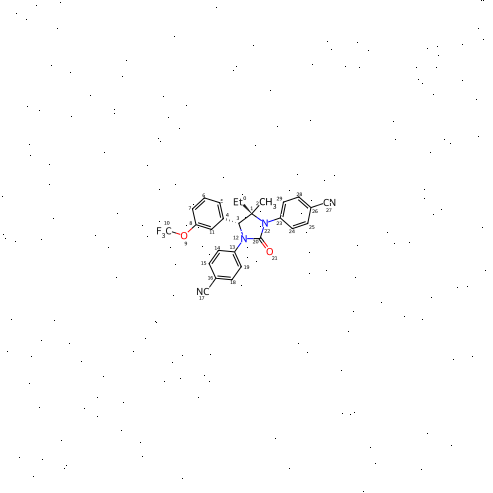 CC[C@]1(C)[C@@H](c2cccc(OC(F)(F)F)c2)N(c2ccc(C#N)cc2)C(=O)N1c1ccc(C#N)cc1